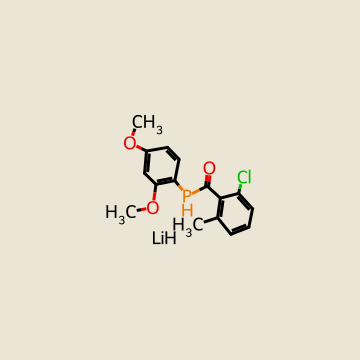 COc1ccc(PC(=O)c2c(C)cccc2Cl)c(OC)c1.[LiH]